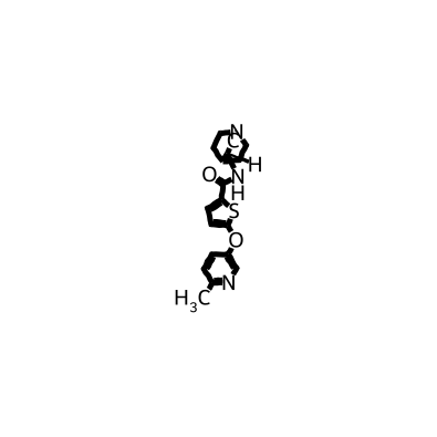 Cc1ccc(Oc2ccc(C(=O)N[C@H]3CN4CCC3CC4)s2)cn1